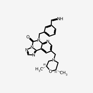 C[C@@H]1CN(Cc2cnc3c(c2)c2ncnn2c(=O)n3Cc2cccc(C=N)c2)C[C@H](C)O1